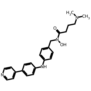 CN(C)CCCC(=O)N(O)Cc1ccc(Nc2ccc(-c3ccncc3)cc2)cc1